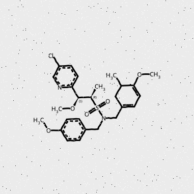 COC1=CC=C(CN(Cc2ccc(OC)cc2)S(=O)(=O)[C@H](C)[C@@H](OC)c2ccc(Cl)cn2)CC1C